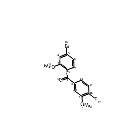 COc1cc(C(=O)c2ccc(Br)cc2OC)ccc1F